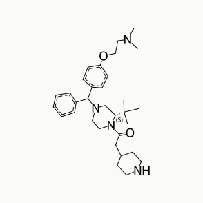 CN(C)CCOc1ccc(C(c2ccccc2)N2CCN(C(=O)CC3CCNCC3)[C@@H](C(C)(C)C)C2)cc1